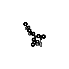 CC1(C)c2ccccc2-c2ccc(N(c3ccc4c(c3)oc3cc5nc(-c6ccccc6)oc5cc34)c3ccc4c(c3)sc3ccccc34)cc21